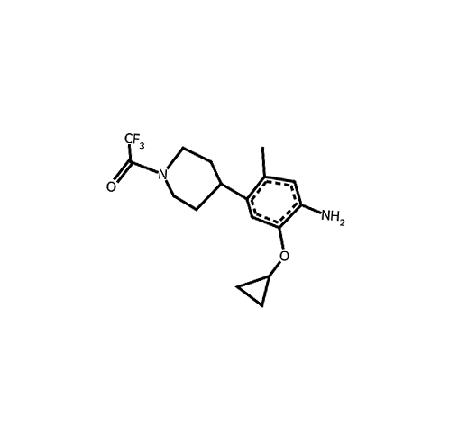 Cc1cc(N)c(OC2CC2)cc1C1CCN(C(=O)C(F)(F)F)CC1